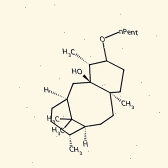 CCCCCOC1CC[C@@]2(C)CC[C@H]3[C@H](C)CC[C@@H](C[C@]2(O)[C@@H]1C)C3(C)C